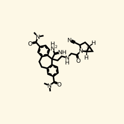 CN(C)C(=O)c1ccc2c(c1)CCc1cc(C(=O)N(C)C)ccc1C2(CCNCC(=O)N1C(C#N)C[C@@H]2C[C@@H]21)C(=N)N